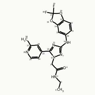 CCNC(=O)Cn1nc(Nc2ccc3c(c2)OC(F)(F)O3)nc1-c1ccnc(C)c1